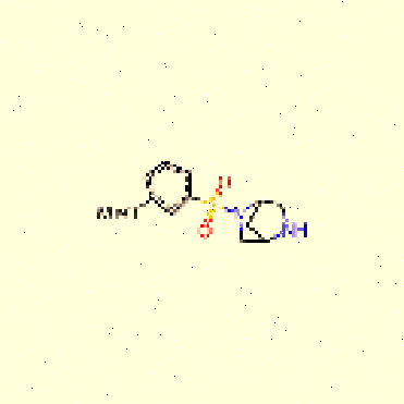 COc1cccc(S(=O)(=O)N2CC3CC2CN3)c1